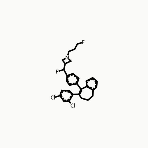 FCCCN1CC(C(F)c2ccc(C3=C(c4ccc(Cl)cc4Cl)CCCc4ccccc43)cc2)C1